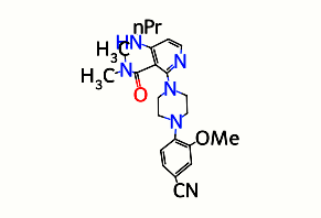 CCCNc1ccnc(N2CCN(c3ccc(C#N)cc3OC)CC2)c1C(=O)N(C)C